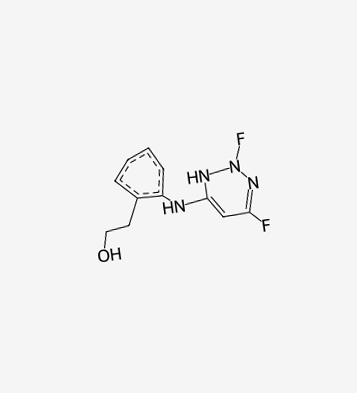 OCCc1ccccc1NC1=CC(F)=NN(F)N1